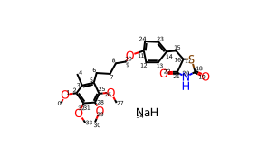 COc1c(C)c(CCCCOc2ccc(CC3SC(=O)NC3=O)cc2)c(OC)c(OC)c1OC.[NaH]